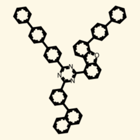 c1ccc(-c2ccc(-c3ccc(-c4nc(-c5cccc(-c6cccc7ccccc67)c5)nc(-c5cccc6oc7c(-c8ccc(-c9ccccc9)cc8)cccc7c56)n4)cc3)cc2)cc1